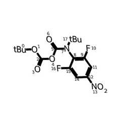 CC(C)(C)OC(=O)OC(=O)N(c1c(F)cc([N+](=O)[O-])cc1F)C(C)(C)C